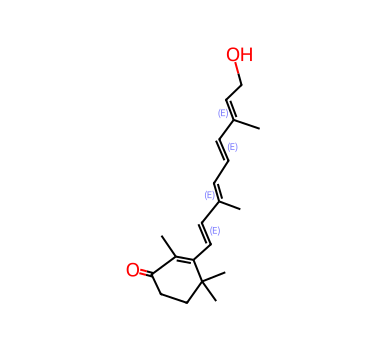 CC1=C(/C=C/C(C)=C/C=C/C(C)=C/CO)C(C)(C)CCC1=O